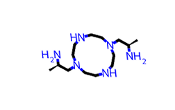 C[C@@H](N)CN1CCNCCN(C[C@@H](C)N)CCNCC1